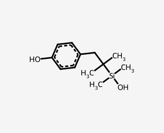 CC(C)(Cc1ccc(O)cc1)[Si](C)(C)O